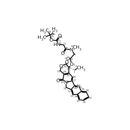 CC[C@@]1(OC(=O)CN(C)C(=O)CNC(=O)OC(C)(C)C)C(=O)OCc2c1cc1n(c2=O)Cc2cc3ccccc3nc2-1